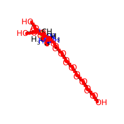 COc1cc(S(=O)(=O)CCN(CCOC(=O)CCCCCO)CCOC(=O)CCCCCO)c(OC)cc1/N=N/c1c(Nc2ccccc2)nc(NCCOCCOC(=O)CCCCCOC(=O)CCCCCOC(=O)CCCCCOC(=O)CCCCCOC(=O)CCCCCOC(=O)CCCCCOC(=O)CCCCCOC(=O)CCCCCO)c(C#N)c1C